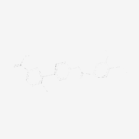 COc1ccc(C(=O)Nc2ccc(-c3cc(C(=O)O)ccc3C)cc2)cc1OC